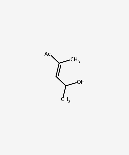 CC(=O)/C(C)=C/C(C)O